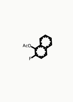 CC(=O)Oc1c(F)ccc2ccccc12